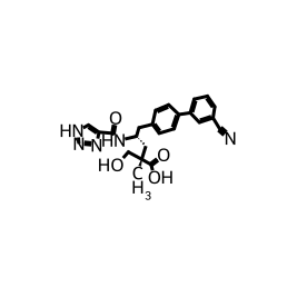 C[C@@](CO)(C[C@@H](Cc1ccc(-c2cccc(C#N)c2)cc1)NC(=O)c1c[nH]nn1)C(=O)O